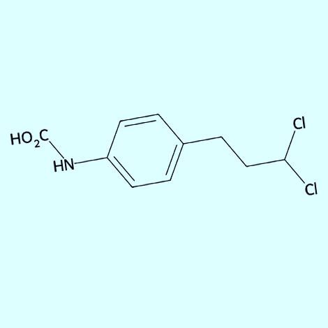 O=C(O)Nc1ccc(CCC(Cl)Cl)cc1